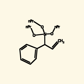 C=CC(c1ccccc1)[Si](OCCC)(OCCC)OCCC